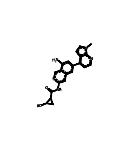 Cn1ccc2c(-c3cc(N)c4cnc(NC(=O)C5CC5C#N)cc4c3)ccnc21